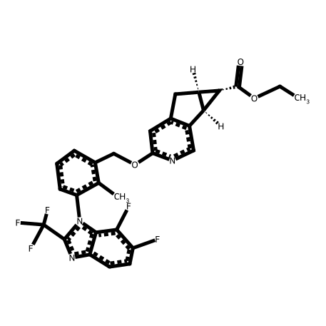 CCOC(=O)[C@H]1[C@@H]2Cc3cc(OCc4cccc(-n5c(C(F)(F)F)nc6ccc(F)c(F)c65)c4C)ncc3[C@@H]21